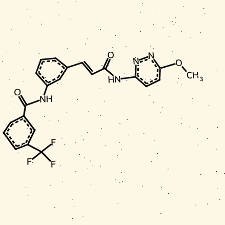 COc1ccc(NC(=O)C=Cc2cccc(NC(=O)c3cccc(C(F)(F)F)c3)c2)nn1